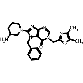 Cc1nc(Cn2cnc3nc(N4CCCC(N)C4)n(Cc4ccccc4)c3c2=O)oc1C